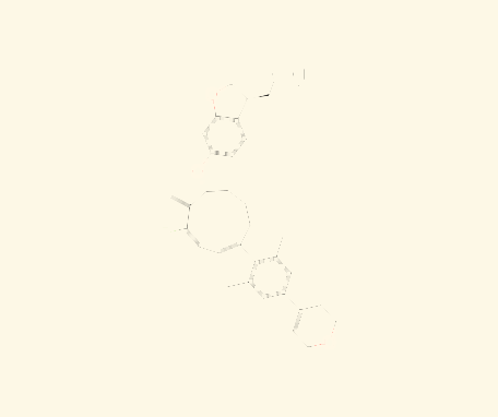 C=C1/C(F)=C\C=C(\c2c(C)cc(C3=CCOCC3)cc2C)CCC[C@H]1Oc1ccc2c(c1)OC[C@H]2CC(=O)O